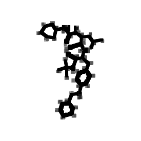 CC(C)C[C@H](NC(=O)NC1CCCCC1)C(=O)N[C@@H](Cc1ccc(OCc2ccccc2)cc1)C(=O)OC(C)(C)C